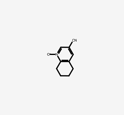 N#Cc1cc2c([n+]([O-])c1)CCCC2